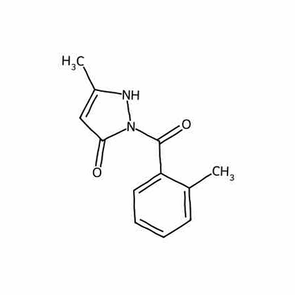 Cc1cc(=O)n(C(=O)c2ccccc2C)[nH]1